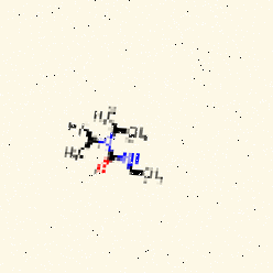 CCNC(=O)N(C(C)C)C(C)C